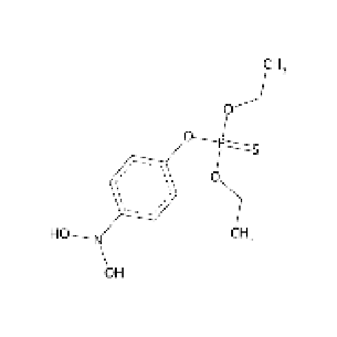 CCOP(=S)(OCC)Oc1ccc(N(O)O)cc1